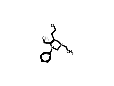 CCC1=C(CCCl)CN(CC)CN1c1ccccc1